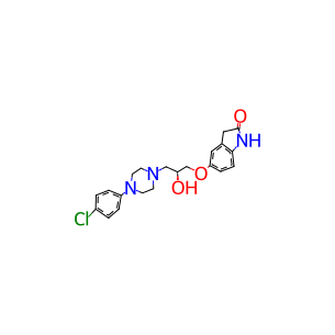 O=C1Cc2cc(OC[C@@H](O)CN3CCN(c4ccc(Cl)cc4)CC3)ccc2N1